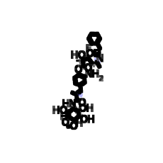 C/C(=N/OCc1ccccc1F)[C@H]1O[C@@H](Oc2ccc(/C=C(\C)C(=O)N[C@@H]3[C@H](O)[C@@H](O)[C@H]4OCO[C@H]4[C@@H]3O)cc2N)[C@@](C)(O)[C@@H]1O